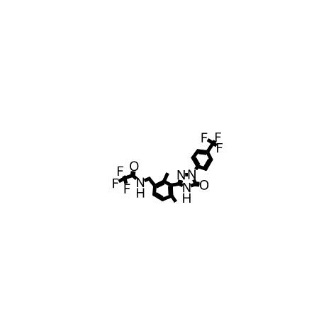 Cc1ccc(CNC(=O)C(F)(F)F)c(C)c1-c1nn(-c2ccc(C(F)(F)F)cc2)c(=O)[nH]1